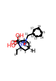 CC[C@@]12C[C@@H]3CC(C([C@@H]1O)N(Cc1ccccc1)C3)N2C(=O)O